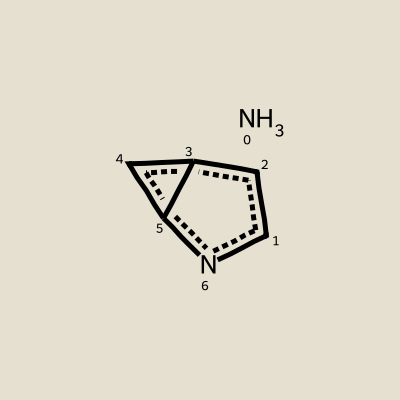 N.c1cc2cc-2n1